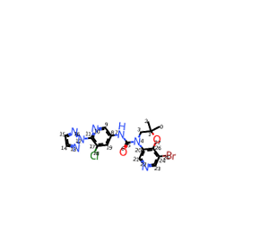 CC1(C)CN(C(=O)Nc2cnc(-n3nccn3)c(Cl)c2)c2cncc(Br)c2O1